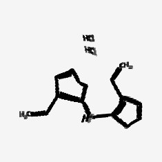 C=CC1=[C]([Hf][C]2=C(C=C)C=CC2)CC=C1.Cl.Cl